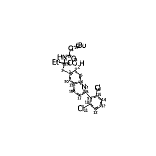 CC[C@@](Cc1ccc2nc(-c3c(Cl)cccc3Cl)ccc2c1)(NC(=O)OC(C)(C)C)C(=O)O